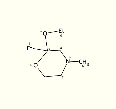 CCOC1(CC)CN(C)CCO1